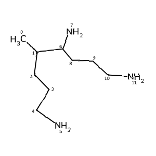 CC(CCCN)C(N)CCCN